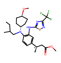 CCC(C)CN(c1ccc([C@H](C)CC(=O)OC)cc1Nc1nc(C(F)(F)F)ns1)[C@H]1CC[C@H](OC)CC1